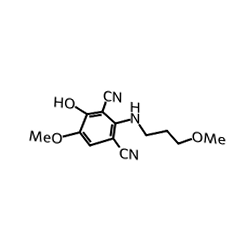 COCCCNc1c(C#N)cc(OC)c(O)c1C#N